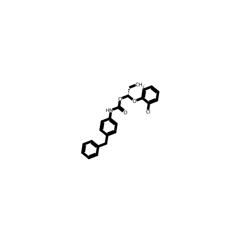 [CH2]C[C@@H](OC(=O)Nc1ccc(Cc2ccccc2)cc1)Oc1ccccc1Cl